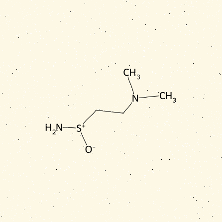 CN(C)CC[S+](N)[O-]